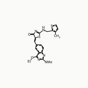 CCOc1nc(NC)nc2ccc(/C=C3\SC(NCc4sccc4C)=NC3=O)cc12